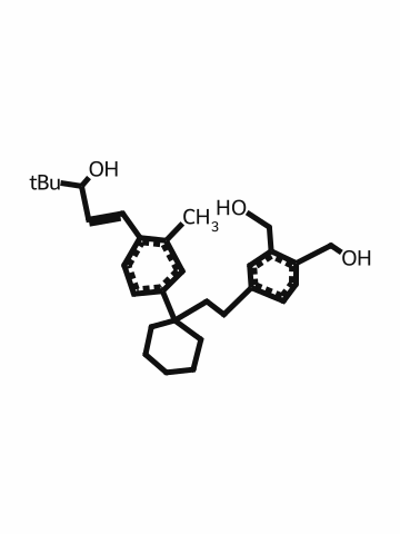 Cc1cc(C2(CCc3ccc(CO)c(CO)c3)CCCCC2)ccc1C=CC(O)C(C)(C)C